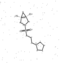 O=S(=O)(CCCN1CCCC1)N1C[C@H]2[CH][C@H]2C1